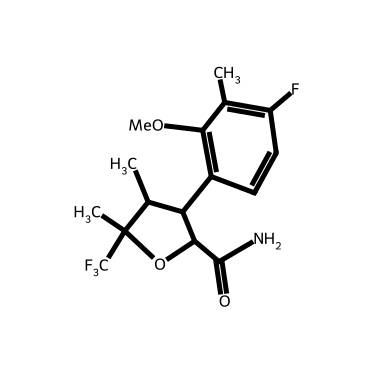 COc1c(C2C(C(N)=O)OC(C)(C(F)(F)F)C2C)ccc(F)c1C